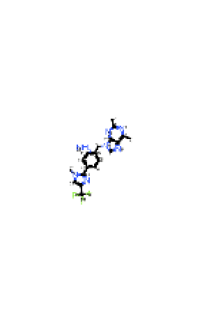 Cc1nc(C)c2ncn(Cc3ccc(-c4nc(C(F)(F)F)cn4C)cc3)c2n1.N